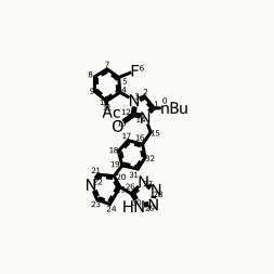 CCCCc1cn(-c2c(F)cccc2C(C)=O)c(=O)n1Cc1ccc(-c2cnccc2-c2nnn[nH]2)cc1